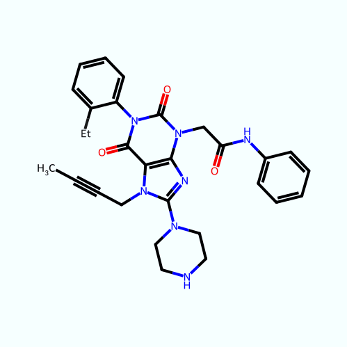 CC#CCn1c(N2CCNCC2)nc2c1c(=O)n(-c1ccccc1CC)c(=O)n2CC(=O)Nc1ccccc1